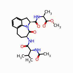 COC(=O)[C@H](C)NC(=O)[C@@H]1Cc2cccc3c2N1C(=O)[C@@H](NC(=O)[C@@H](NC(C)=O)C(C)C)CC3